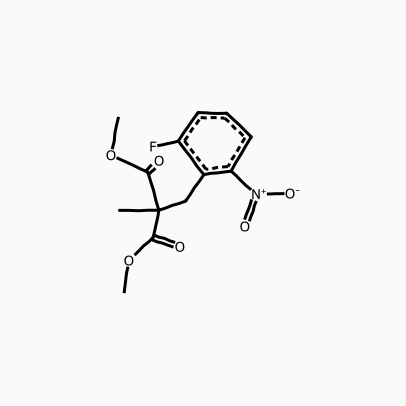 COC(=O)C(C)(Cc1c(F)cccc1[N+](=O)[O-])C(=O)OC